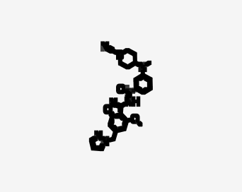 COc1cc(Cn2cccn2)cc2onc(N[S+]([O-])c3cccc(N(C)C4CCB(C#N)CC4)c3)c12